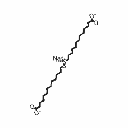 O=C([O-])CCCCCCCCCCCCSSCCCCCCCCCCCCC(=O)[O-].[Na+].[Na+]